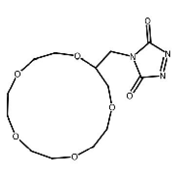 O=C1N=NC(=O)N1CC1COCCOCCOCCOCCO1